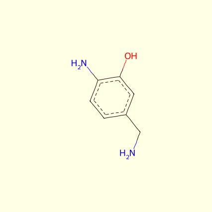 NCc1ccc(N)c(O)c1